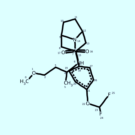 COCCC(C)NC1CC2CCC(C1)N2S(=O)(=O)c1ccc(OC(F)F)cc1